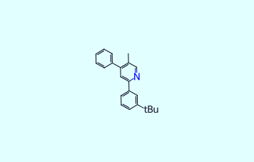 Cc1cnc(-c2cccc(C(C)(C)C)c2)cc1-c1ccccc1